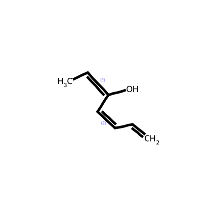 C=C/C=C\C(O)=C/C